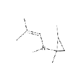 CC(C)=CN(C)C1(C)CC1C